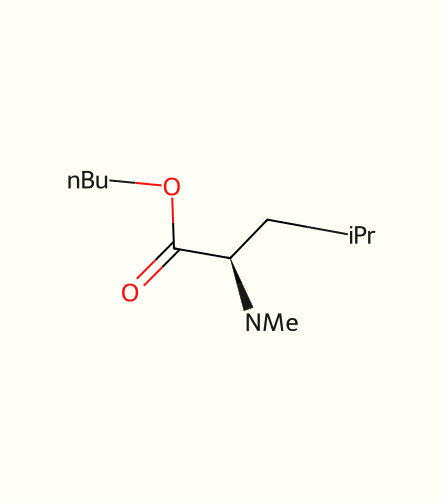 CCCCOC(=O)[C@@H](CC(C)C)NC